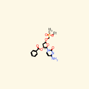 CCOP(C)(=O)CO[C@@H]1C[C@H](OC(=O)c2ccccc2)[C@H](n2ccc(N)nc2=O)O1